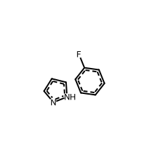 Fc1ccccc1.c1cn[nH]c1